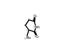 CCC(C)C1CCC(=O)NC1=O